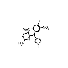 COc1cc(F)c([N+](=O)[O-])cc1N(c1ccn(C)n1)c1nccc(N)n1